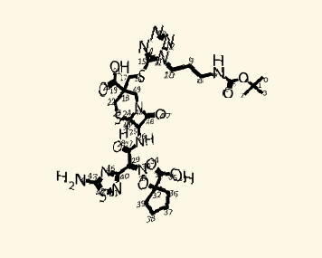 CC(C)(C)OC(=O)NCCCn1nnnc1SCC1(C(=O)O)CS[C@@H]2C(NC(=O)C(=NOC3(C(=O)O)CCCC3)c3nsc(N)n3)C(=O)N2C1